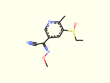 CC[S+]([O-])c1cc(/C(C#N)=N/OC)cnc1C